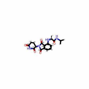 CC(C)NC(=O)[C@H](C)Nc1cccc2c1C(=O)N(C1CCC(=O)NC1=O)C2=O